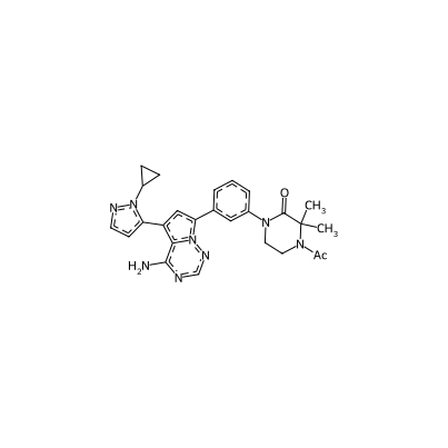 CC(=O)N1CCN(c2cccc(-c3cc(-c4ccnn4C4CC4)c4c(N)ncnn34)c2)C(=O)C1(C)C